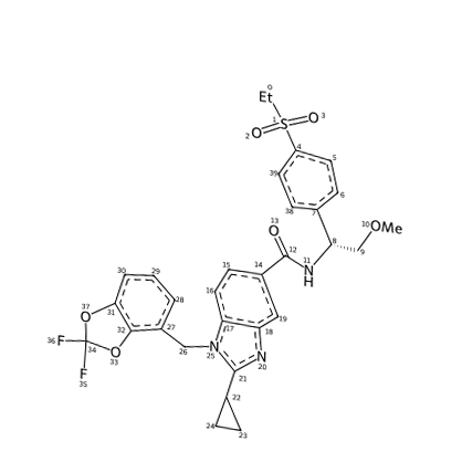 CCS(=O)(=O)c1ccc([C@H](COC)NC(=O)c2ccc3c(c2)nc(C2CC2)n3Cc2cccc3c2OC(F)(F)O3)cc1